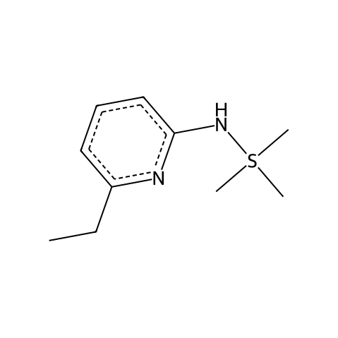 CCc1cccc(NS(C)(C)C)n1